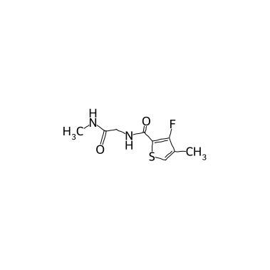 CNC(=O)CNC(=O)c1scc(C)c1F